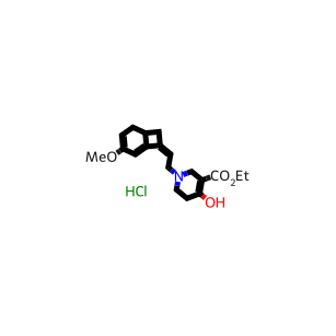 CCOC(=O)C1=C(O)CCN(CC=C2CC3CC=C(OC)C=C23)C1.Cl